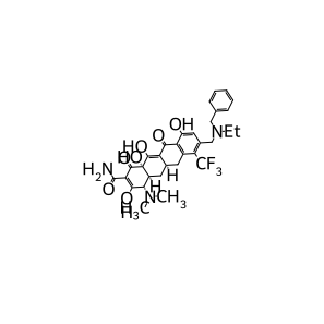 CCN(Cc1ccccc1)Cc1cc(O)c2c(c1C(F)(F)F)C[C@H]1C[C@H]3[C@H](N(C)C)C(O)=C(C(N)=O)C(=O)[C@@]3(O)C(O)=C1C2=O